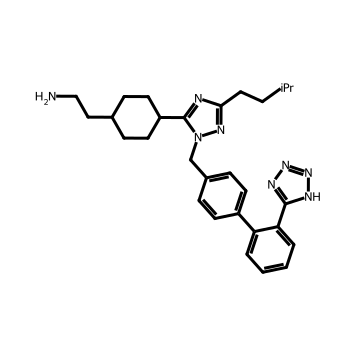 CC(C)CCc1nc(C2CCC(CCN)CC2)n(Cc2ccc(-c3ccccc3-c3nnn[nH]3)cc2)n1